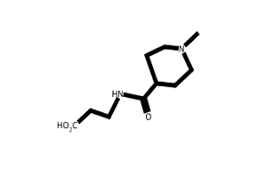 CN1CCC(C(=O)NCCC(=O)O)CC1